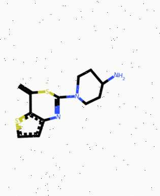 C=C1SC(N2CCC(N)CC2)=Nc2ccsc21